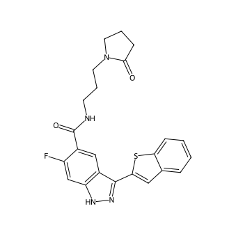 O=C(NCCCN1CCCC1=O)c1cc2c(-c3cc4ccccc4s3)n[nH]c2cc1F